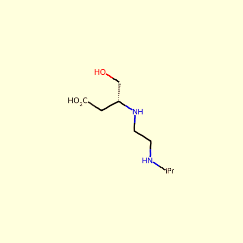 CC(C)NCCN[C@@H](CO)CC(=O)O